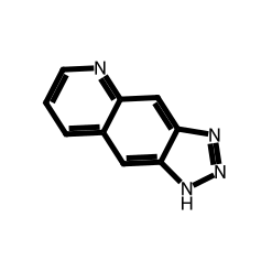 c1cnc2cc3nn[nH]c3cc2c1